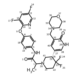 CC(C(=O)Nc1ccc(Oc2ncc(F)cc2F)cn1)N1CCC(F)(F)[C@@H](c2c[nH]c(=O)c(CN3CCOCC3)c2)C1